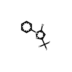 FC(F)(F)c1cc(Br)n(-c2ccccc2)n1